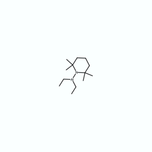 C[CH2][Al]([CH2]C)[N]1C(C)(C)CCCC1(C)C